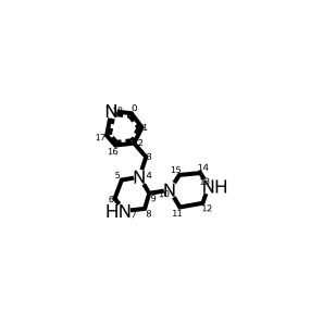 c1cc(CN2CCNCC2N2CCNCC2)ccn1